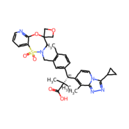 Cc1ccc([C@H](c2ccn3c(C4CC4)nnc3c2C)C(C)(C)C(=O)O)cc1CN1CC2(COC2)Oc2ncccc2S1(=O)=O